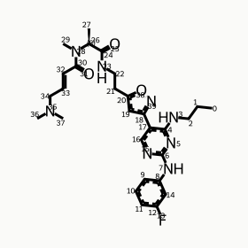 CCCNc1nc(Nc2cccc(F)c2)ncc1-c1cc(CCNC(=O)[C@H](C)N(C)C(=O)C=CCN(C)C)on1